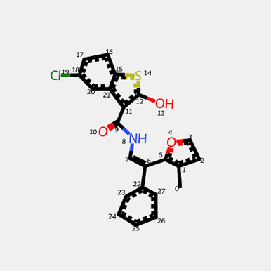 Cc1ccoc1C(=CNC(=O)c1c(O)sc2ccc(Cl)cc12)c1ccccc1